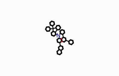 c1ccc(-c2cccc(-c3ccccc3N(c3ccc(-c4ccc5ccccc5c4)cc3)c3cccc4c3-c3ccccc3C4(c3ccccc3)c3ccccc3)c2)cc1